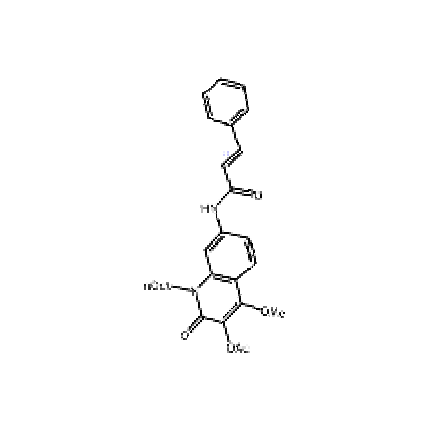 CCCCCCCCn1c(=O)c(OC(C)=O)c(OC)c2ccc(NC(=O)/C=C/c3ccccc3)cc21